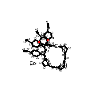 C#Cc1ccc(-c2c(-c3ccc(C#C)cc3)c3c(-c4ccc(C#C)cc4)c4nc(cc5ccc(cc6nc(cc2n3-c2ccc(C#C)cc2)C=C6)[nH]5)C=C4)cc1.[Co]